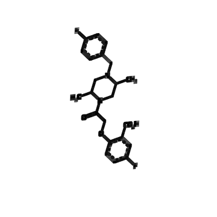 CC1CN(C(=O)COc2ccc(F)cc2C(=O)O)C(C)CN1Cc1ccc(F)cc1